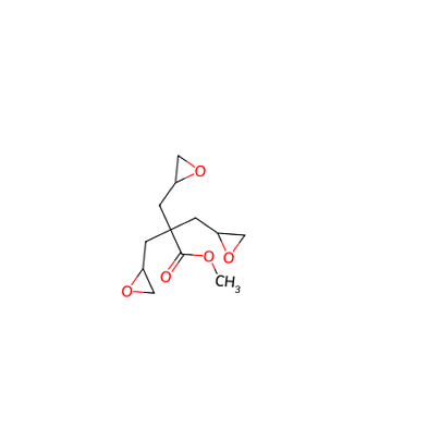 COC(=O)C(CC1CO1)(CC1CO1)CC1CO1